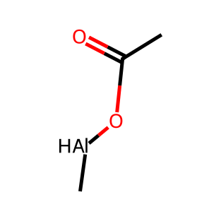 [CH3][AlH][O]C(C)=O